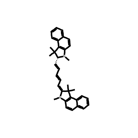 CN1/C(=C/C=C/C=C/[C@H]2N(C)c3ccc4ccccc4c3C2(C)C)C(C)(C)c2c1ccc1ccccc21